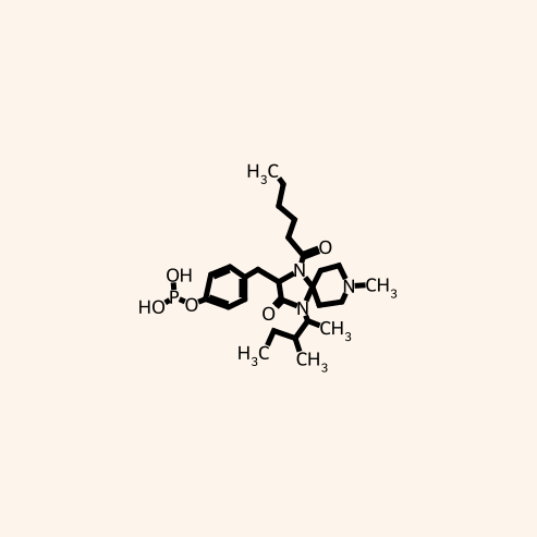 CCCCCC(=O)N1C(Cc2ccc(OP(O)O)cc2)C(=O)N(C(C)C(C)CC)C12CCN(C)CC2